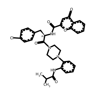 CC(C)C(=O)Nc1ccccc1N1CCN(C(=O)[C@@H](Cc2ccc(Cl)cc2)NC(=O)c2cc(=O)c3ccccc3o2)CC1